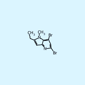 CCc1cc2nc(Br)cc(Br)c2n1C